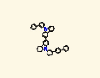 C1=C(c2ccc(-c3ccccc3)cc2)CCCC1n1c2c(c3cc(-c4ccc5c(c4)c4ccccc4n5-c4cccc(-c5ccccc5)c4)ccc31)CCCC2